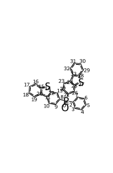 O=P(c1ccccc1)(c1ccc2c(c1)sc1ccccc12)c1ccc2c(c1)sc1ccccc12